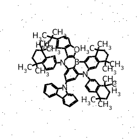 CC(C)(C)c1ccc2oc3c(c2c1)N(c1ccc2c(c1)C(C)(C)CCC2(C)C)c1cc(-n2c4ccccc4c4ccccc42)cc2c1B3c1cc3c(cc1N2c1ccc2c(c1)C(C)(C)CCC2(C)C)C(C)(C)CCC3(C)C